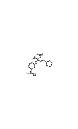 CCCCCN(Cc1ccc(N(CC)CC)cc1)S(=O)(=O)/C=C/c1ccccc1